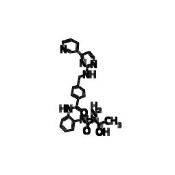 C[C@@H](O)[C@H](N)C(=O)Nc1ccccc1NC(=O)c1ccc(CNc2nccc(-c3cccnc3)n2)cc1